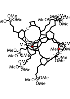 CO[Si](CCCC1CC2CC(C1)CC1CC(CCC[Si](OC)(OC)OC)CC(CC3CC(CCC[Si](OC)(OC)OC)CC4CC5CCC(C2)C5O[Si](OC)(OC)OC43)C1O[Si@]1(OC)OC2C3CC4CC(CCC[Si](OC)(OC)OC)CC(C4)CC4CC(CCC[Si](OC)(OC)OC)CC(C(CCC[Si](OC)(OC)OC)CC5CCC5CC2CC(CCC[Si](OC)(OC)OC)C3)C4O1)(OC)OC